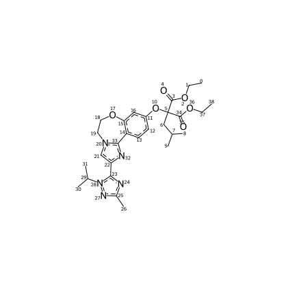 CCOC(=O)C(CC(C)C)(Oc1ccc2c(c1)OCCn1cc(-c3nc(C)nn3C(C)C)nc1-2)C(=O)OCC